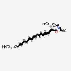 CC(=O)CCN(CC(=O)O)C(=O)CCCCCCCCCCCCCCCCC(=O)O